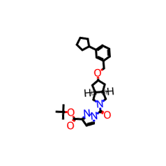 CC(C)(C)OC(=O)c1ccn(C(=O)N2C[C@H]3CC(OCc4cccc(C5CCCC5)c4)C[C@H]3C2)n1